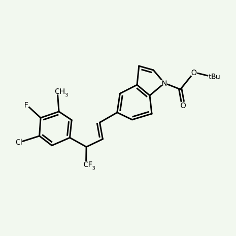 Cc1cc(C(/C=C/c2ccc3c(ccn3C(=O)OC(C)(C)C)c2)C(F)(F)F)cc(Cl)c1F